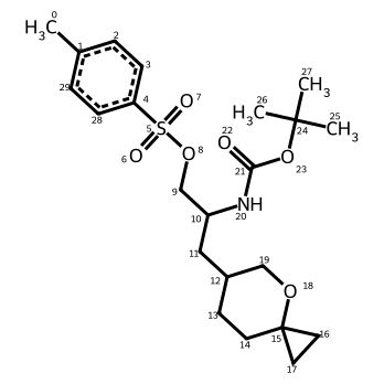 Cc1ccc(S(=O)(=O)OCC(CC2CCC3(CC3)OC2)NC(=O)OC(C)(C)C)cc1